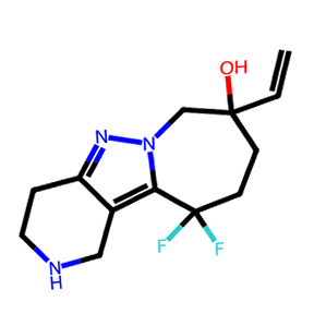 C=CC1(O)CCC(F)(F)c2c3c(nn2C1)CCNC3